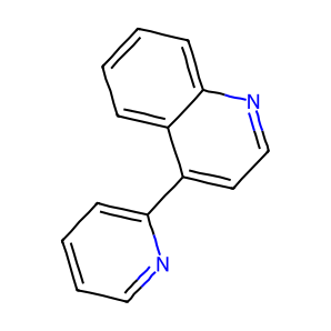 c1ccc(-c2ccnc3ccccc23)nc1